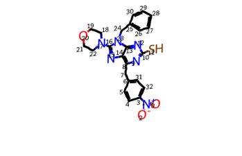 O=[N+]([O-])c1ccc(Cc2nc(S)nc3c2nc(N2CCOCC2)n3Cc2ccccc2)cc1